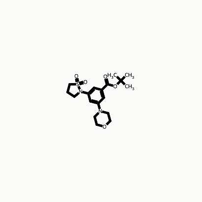 CC(C)(C)OC(=O)c1cc(N2CCOCC2)cc(N2CCCS2(=O)=O)c1